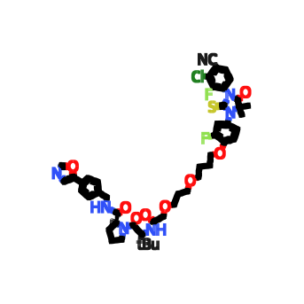 CC(C)(C)C(NC(=O)COCCCOCCCCOc1ccc(N2C(=S)N(c3ccc(C#N)c(Cl)c3F)C(=O)C2(C)C)cc1F)C(=O)N1CCC[C@H]1C(=O)NCc1ccc(-c2cnco2)cc1